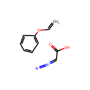 C=COc1ccccc1.[N-]=[N+]=CC(=O)O